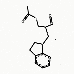 CC(=O)SCC(C=O)CC1CCc2ccccc21